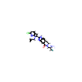 Cn1c(-c2cc3ccc(Cl)nc3n2CC2CC2)nc2cc3c(cc21)CCN(CC(N)CF)C3=O